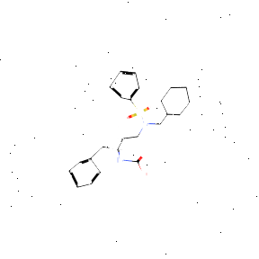 O=C(O)N[C@@H](Cc1ccccc1)[C@H](O)CN(CC1CCCCC1)S(=O)(=O)c1ccccc1